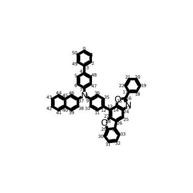 c1ccc(-c2ccc(N(c3ccc(-c4c5oc(-c6ccccc6)nc5cc5c4oc4ccccc45)cc3)c3ccc4ccccc4c3)cc2)cc1